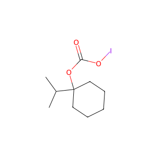 CC(C)C1(OC(=O)OI)CCCCC1